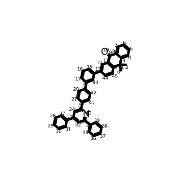 CC1(C)c2ccccc2C(=O)c2cc(-c3cccc(-c4ccc(-c5cc(-c6ccccc6)cc(-c6ccccc6)n5)cc4)c3)ccc21